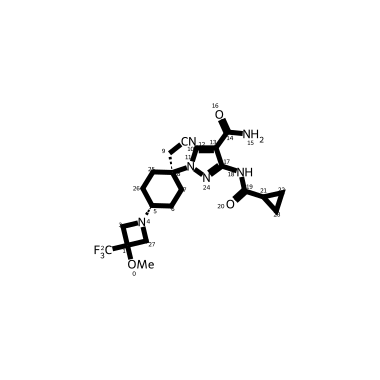 COC1(C(F)(F)F)CN([C@H]2CC[C@](CC#N)(n3cc(C(N)=O)c(NC(=O)C4CC4)n3)CC2)C1